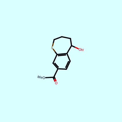 COC(=O)c1ccc2c(c1)SCCCC2O